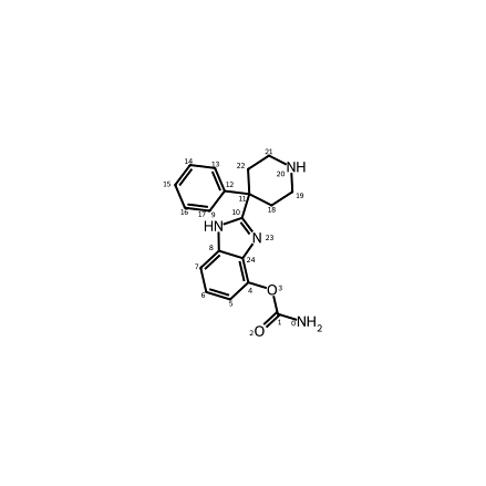 NC(=O)Oc1cccc2[nH]c(C3(c4ccccc4)CCNCC3)nc12